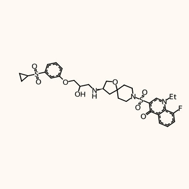 CCn1cc(S(=O)(=O)N2CCC3(CC2)C[C@@H](NCC(O)COc2cccc(S(=O)(=O)C4CC4)c2)CO3)c(=O)c2cccc(F)c21